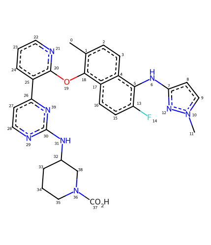 Cc1ccc2c(Nc3ccn(C)n3)c(F)ccc2c1Oc1ncccc1-c1ccnc(NC2CCCN(C(=O)O)C2)n1